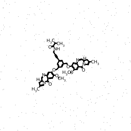 COc1cc2c(cc1OCc1cc(C#CCNC(=O)C(C)C)cc(COc3cc4c(cc3OC)C(=O)N3C=C(C)C[C@H]3C=N4)c1)N=C[C@@H]1CC(C)=CN1C2=O